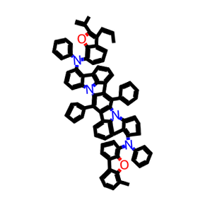 C=C(C)c1oc2c(N(c3ccccc3)c3cccc4c3c3cccc5c6c(-c7ccccc7)c7c(c(-c8ccccc8)c6n4c35)c3cccc4c5c(N(c6ccccc6)c6cccc8c6oc6c(C)cccc68)cccc5n7c43)cccc2c1/C=C\C